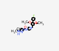 CCOc1cc(CN2CCC(NC(=O)c3ccc(NC(C)C)nc3)CC2)cc(OCC)c1-c1ccc(F)cc1